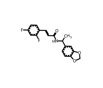 CC(NC(=O)C=Cc1ccc(F)cc1F)c1ccc2c(c1)OCO2